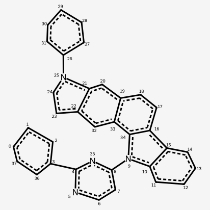 c1ccc(-c2nccc(-n3c4ccccc4c4ccc5cc6c(ccn6-c6ccccc6)cc5c43)n2)cc1